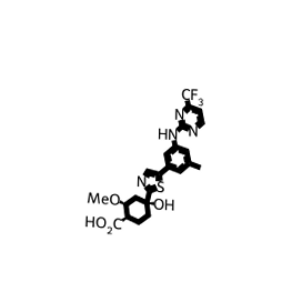 CO[C@H]1C[C@](O)(c2ncc(-c3cc(C)cc(Nc4nccc(C(F)(F)F)n4)c3)s2)CC[C@H]1C(=O)O